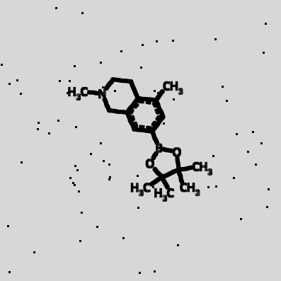 Cc1cc(B2OC(C)(C)C(C)(C)O2)cc2c1CCN(C)C2